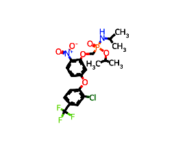 CC(C)NP(=O)(COc1cc(Oc2ccc(C(F)(F)F)cc2Cl)ccc1[N+](=O)[O-])OC(C)C